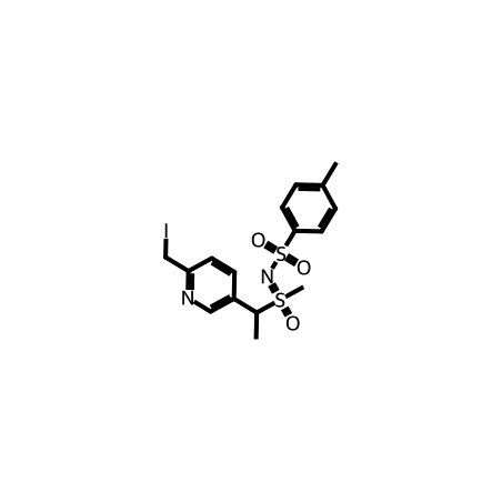 Cc1ccc(S(=O)(=O)N=S(C)(=O)C(C)c2ccc(CI)nc2)cc1